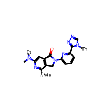 CCN(C)c1cc2c(c(NC)n1)CN(c1cccc(-c3nncn3C(C)C)n1)C2=O